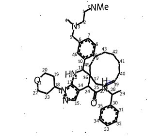 CNCCN(C)Cc1cccc(C2Nc3c(cnn3C3CCOCC3)C(C(=O)NC(C)c3ccccc3)C23C/C=C\CCCCCC3)c1